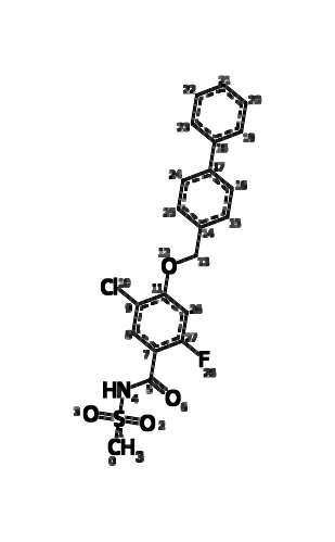 CS(=O)(=O)NC(=O)c1cc(Cl)c(OCc2ccc(-c3ccccc3)cc2)cc1F